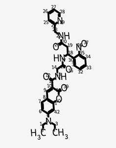 CCN(CC)c1ccc2cc(C(=O)NCC(=O)NC(CC(=O)NCc3ccccn3)c3ccccc3N=O)c(=O)oc2c1